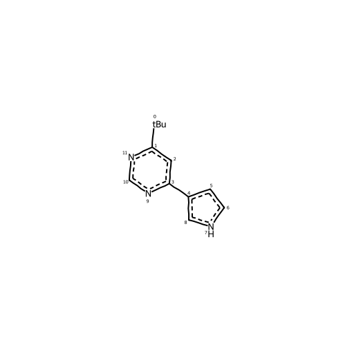 CC(C)(C)c1cc(-c2cc[nH]c2)ncn1